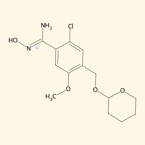 COc1cc(/C(N)=N/O)c(Cl)cc1COC1CCCCO1